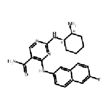 NC(=O)c1cnc(N[C@@H]2CCCC[C@@H]2N)nc1Nc1ccc2cc(F)ccc2c1